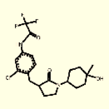 CC1(O)CCC(N2CCC(Cc3ccc(NC(=O)C(F)(F)F)cc3Cl)C2=O)CC1